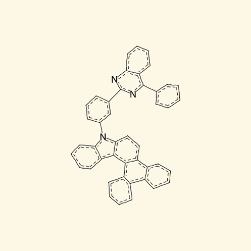 c1ccc(-c2nc(-c3cccc(-n4c5ccccc5c5c6c7ccccc7c7ccccc7c6ccc54)c3)nc3ccccc23)cc1